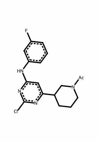 CC(=O)N1CCCC(c2cc(Nc3cccc(F)c3)nc(Cl)n2)C1